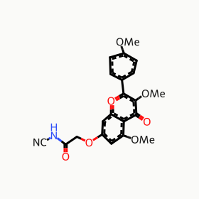 COc1ccc(-c2oc3cc(OCC(=O)NC#N)cc(OC)c3c(=O)c2OC)cc1